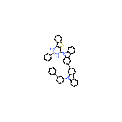 c1ccc(-c2cccc(-n3c4ccccc4c4ccc(-c5ccc6c(c5)c5ccccc5n6C5NC(c6ccccc6)Nc6c5sc5ccccc65)cc43)c2)cc1